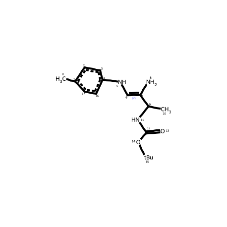 Cc1ccc(N/C=C(\N)C(C)NC(=O)OC(C)(C)C)cc1